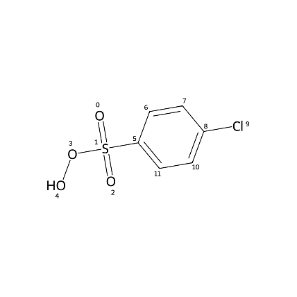 O=S(=O)(OO)c1ccc(Cl)cc1